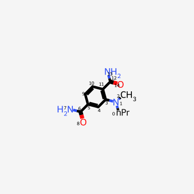 CCCN(C)c1cc(C(N)=O)ccc1C(N)=O